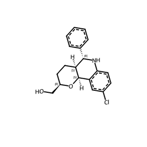 OC[C@H]1CC[C@@H]2[C@H](O1)c1cc(Cl)ccc1N[C@H]2c1ccccc1